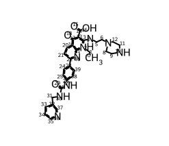 CCn1c(NCCN2CCNCC2)c(C(=O)O)c(=O)c2ccc(-c3ccc(NC(=O)NCc4cccnc4)cc3)nc21